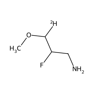 [2H]C(OC)C(F)CN